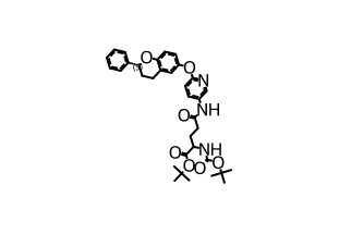 CC(C)(C)OC(=O)NC(CCC(=O)Nc1ccc(Oc2ccc3c(c2)CC[C@@H](c2ccccc2)O3)nc1)C(=O)OC(C)(C)C